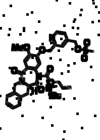 C=CCOC(=O)N1c2cc(OCc3cc(COS(C)(=O)=O)ccn3)c(OC)cc2C(=O)N2Cc3ccccc3C[C@H]2C1O[Si](C)(C)C(C)(C)C